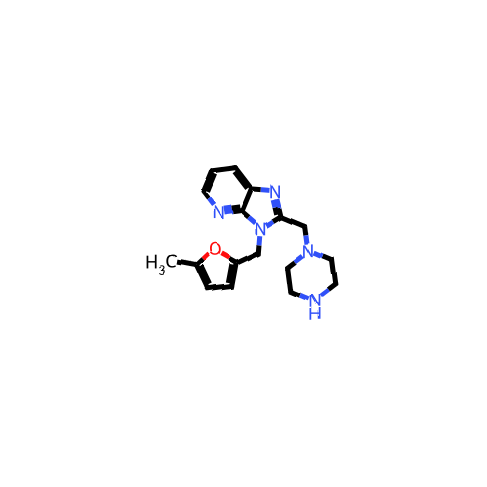 Cc1ccc(Cn2c(CN3CCNCC3)nc3cccnc32)o1